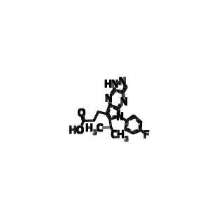 CC(C)c1c(CCC(=O)O)c2nc3[nH]ncc3nc2n1-c1ccc(F)cc1